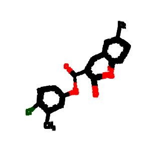 CCc1ccc2oc(=O)c(C(=O)Oc3ccc(Cl)c(C)c3)cc2c1